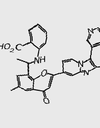 Cc1cc(C(C)Nc2ccccc2C(=O)O)c2oc(-c3ccn4c(-c5cccnc5)c(C)nc4c3)cc(=O)c2c1